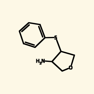 NC1COCC1Sc1ccccc1